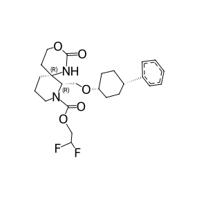 O=C1N[C@]2(CCCN(C(=O)OCC(F)F)[C@H]2CO[C@H]2CC[C@@H](c3ccccc3)CC2)CCO1